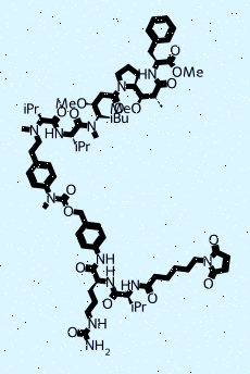 CC[C@H](C)[C@@H]([C@@H](CC(=O)N1CCC[C@H]1[C@H](OC)[C@@H](C)C(=O)N[C@@H](Cc1ccccc1)C(=O)OC)OC)N(C)C(=O)[C@@H](NC(=O)[C@H](C(C)C)N(C)CCc1ccc(N(C)C(=O)OCc2ccc(NC(=O)[C@H](CCCNC(N)=O)NC(=O)[C@@H](NC(=O)CCCCCN3C(=O)C=CC3=O)C(C)C)cc2)cc1)C(C)C